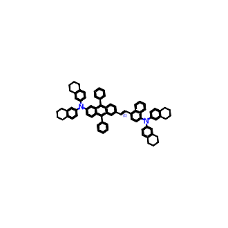 C(=C\c1ccc(N(c2ccc3c(c2)CCCC3)c2ccc3c(c2)CCCC3)c2ccccc12)/c1ccc2c(-c3ccccc3)c3cc(N(c4ccc5c(c4)CCCC5)c4ccc5c(c4)CCCC5)ccc3c(-c3ccccc3)c2c1